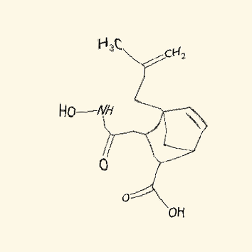 C=C(C)CC12C=CC(C1)C(C(=O)O)C2C(=O)NO